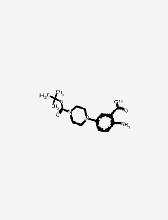 CC(C)(C)OC(=O)N1CCN(c2ccc(N)c(C(=O)O)c2)CC1